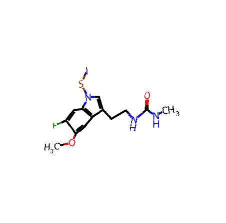 CNC(=O)NCCc1cn(SI)c2cc(F)c(OC)cc12